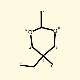 CCC1(C)COC(C)OC1